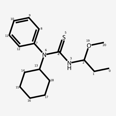 CCC(NC(=S)N(c1ccccc1)C1CCCCC1)OC